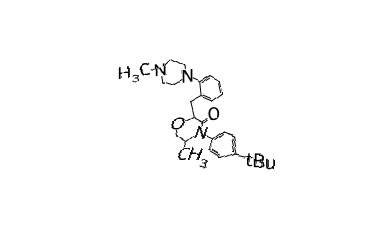 CC1COC(Cc2ccccc2N2CCN(C)CC2)C(=O)N1c1ccc(C(C)(C)C)cc1